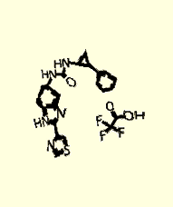 O=C(Nc1ccc2[nH]c(-c3cscn3)nc2c1)NC1CC1c1ccccc1.O=C(O)C(F)(F)F